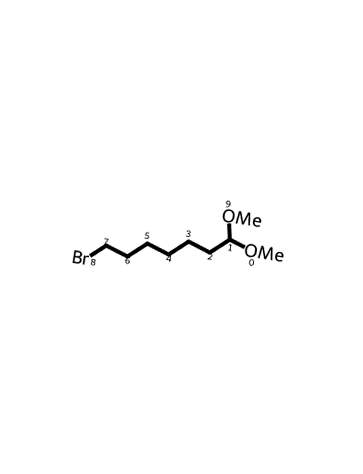 COC(CCCCCCBr)OC